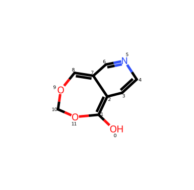 OC1=c2ccncc2=COCO1